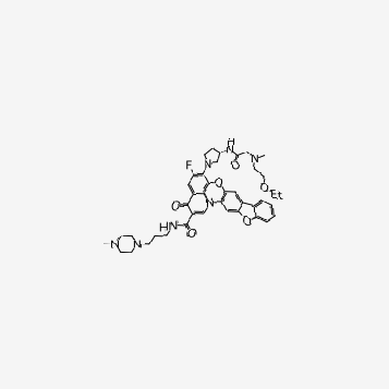 CCOCCN(C)CC(=O)N[C@@H]1CCN(c2c(F)cc3c(=O)c(C(=O)NCCCN4CCN(C)CC4)cn4c3c2Oc2cc3c(cc2-4)oc2ccccc23)C1